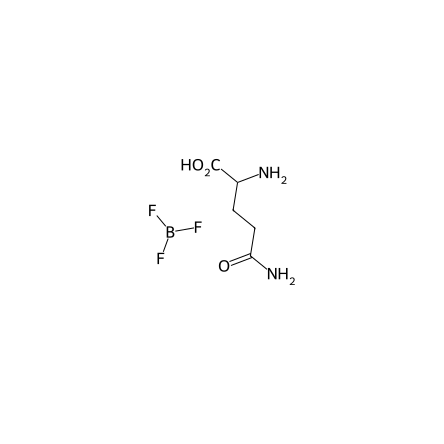 FB(F)F.NC(=O)CCC(N)C(=O)O